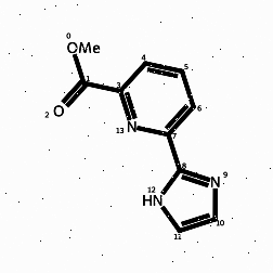 COC(=O)c1cccc(-c2ncc[nH]2)n1